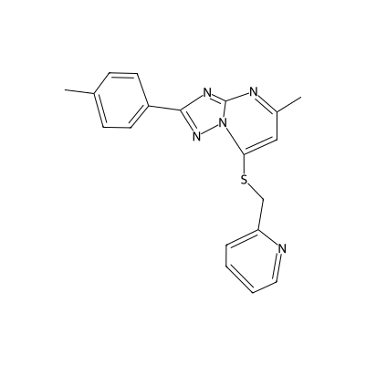 Cc1ccc(-c2nc3nc(C)cc(SCc4ccccn4)n3n2)cc1